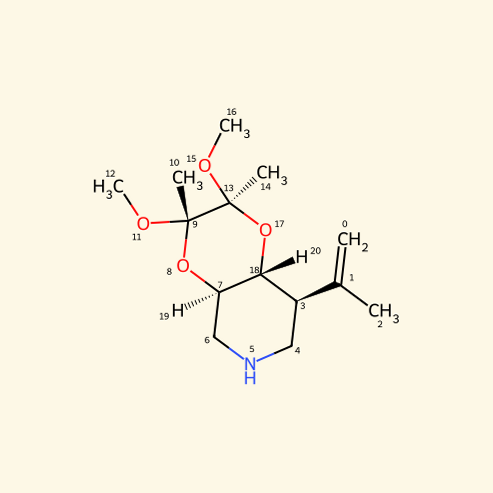 C=C(C)[C@H]1CNC[C@H]2O[C@](C)(OC)[C@@](C)(OC)O[C@H]12